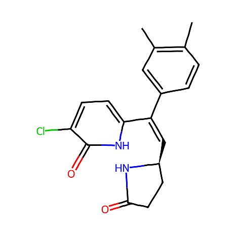 Cc1ccc(/C(=C/[C@H]2CCC(=O)N2)c2ccc(Cl)c(=O)[nH]2)cc1C